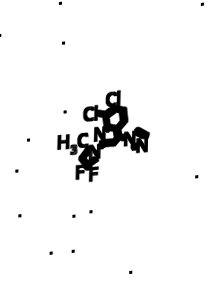 C[C@@H]1CC(F)(F)CN1c1cc(-n2ccnc2)c2ccc(Cl)c(Cl)c2n1